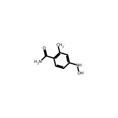 [CH2]c1cc(NO)ccc1C(N)=O